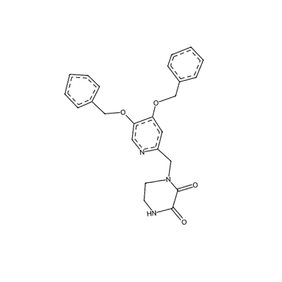 O=C1NCCN(Cc2cc(OCc3ccccc3)c(OCc3ccccc3)cn2)C1=O